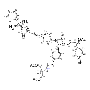 CC(=O)OCC(O)(/C=C/Cc1ccc([C@@H]2C(CC[C@H](OC(C)=O)c3ccc(F)cc3)C(=O)N2c2ccc(C#Cc3ncn(C(P)(P)c4ccccc4)n3)cc2)cc1)COC(C)=O